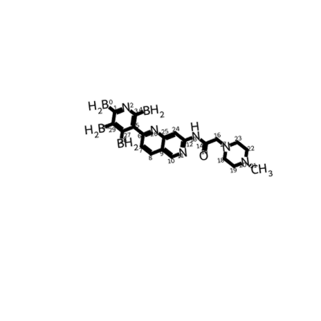 Bc1nc(B)c(-c2ccc3cnc(NC(=O)CN4CCN(C)CC4)cc3n2)c(B)c1B